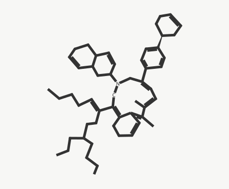 CCCC/C=C(CCC(CCC)CCCC)/C1=C2\CCC=C\C2=C(C)/C(C)=C/C=C(/c2ccc([C@@H]3CC=CCC3)cc2)CN(C2C=CC3CCC=CC3C2)C1